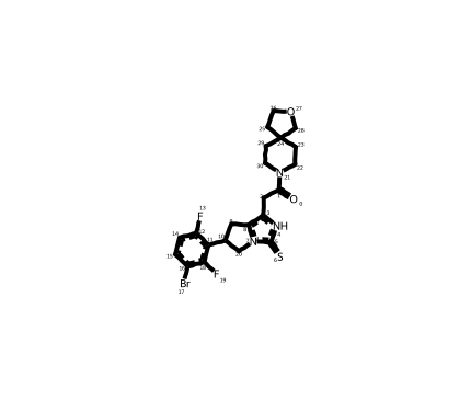 O=C(Cc1[nH]c(=S)n2c1CC(c1c(F)ccc(Br)c1F)C2)N1CCC2(CCOC2)CC1